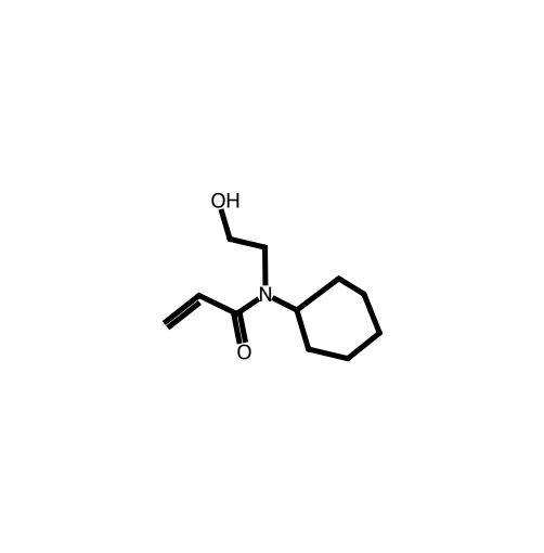 C=CC(=O)N(CCO)C1CCCCC1